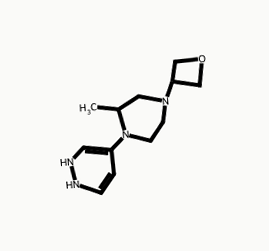 CC1CN(C2COC2)CCN1C1=CNNC=C1